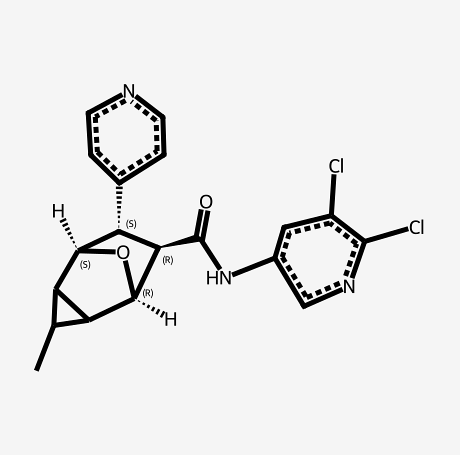 CC1C2C1[C@@H]1O[C@H]2[C@H](C(=O)Nc2cnc(Cl)c(Cl)c2)[C@H]1c1ccncc1